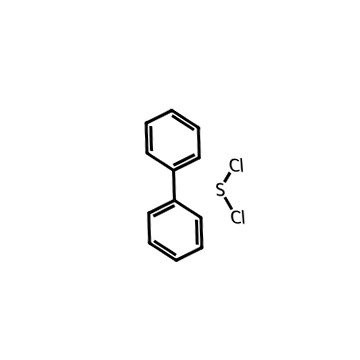 ClSCl.c1ccc(-c2ccccc2)cc1